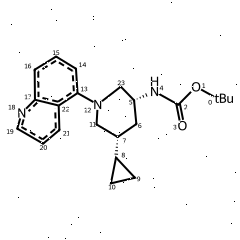 CC(C)(C)OC(=O)N[C@@H]1C[C@H](C2CC2)CN(c2cccc3ncccc23)C1